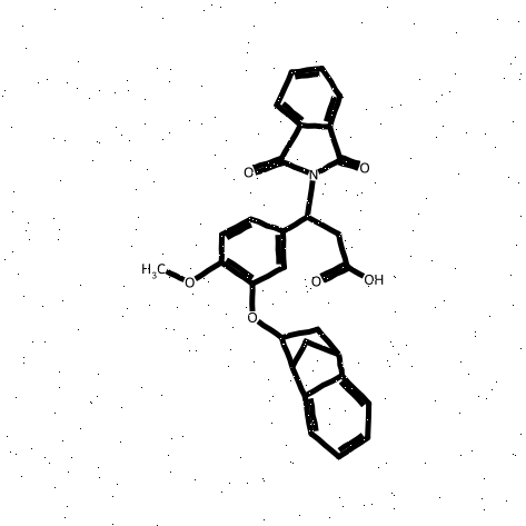 COc1ccc(C(CC(=O)O)N2C(=O)c3ccccc3C2=O)cc1OC1CC2CC1c1ccccc12